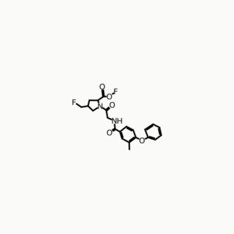 Cc1cc(C(=O)NCC(=O)N2CC(CF)CC2C(=O)OF)ccc1Oc1ccccc1